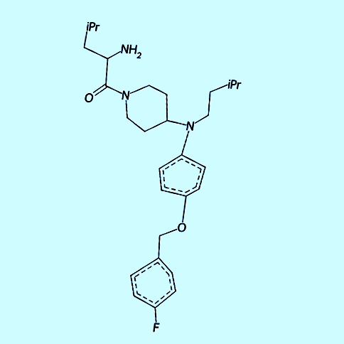 CC(C)CCN(c1ccc(OCc2ccc(F)cc2)cc1)C1CCN(C(=O)C(N)CC(C)C)CC1